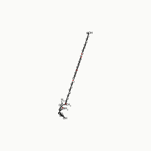 CCCN(CCCN(C)CCOCCOCCOCCOCCOCCOCCOCCOCCOCCOCCOCCOCCOCCOCCOCCOCCOCCOCCOCCOCCOCCOCCOCCOCCC(=O)O)C(=O)C1=Cc2ccc(-c3cccc(S(=O)(=O)N4CC(CO)C4)c3)cc2N=C(N)C1